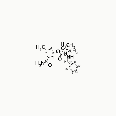 CCCC(CCC(N)=O)OC(=O)N(NCc1ccccc1)C(C)(C)C